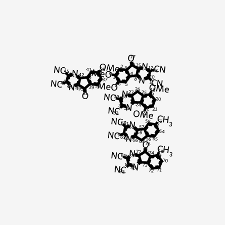 COc1cc2c(cc1OC)-c1nc(C#N)c(C#N)nc1C2=O.COc1ccc(OC)c2c1Cc1nc(C#N)c(C#N)nc1-2.COc1ccc2c(c1)-c1nc(C#N)c(C#N)nc1C2=O.Cc1ccc2c(c1)-c1nc(C#N)c(C#N)nc1C2.Cc1cccc2c1C(=O)c1nc(C#N)c(C#N)nc1-2